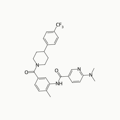 Cc1ccc(C(=O)N2CCC(c3ccc(C(F)(F)F)cc3)CC2)cc1NC(=O)c1ccc(N(C)C)nc1